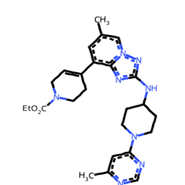 CCOC(=O)N1CC=C(c2cc(C)cn3nc(NC4CCN(c5cc(C)ncn5)CC4)nc23)CC1